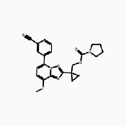 COc1ccc(-c2cccc(C#N)c2)n2nc(C3(COC(=O)N4CCCC4)CC3)nc12